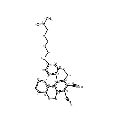 CC(=O)CCCCCOc1ccc2c(c1)CCc1c(C#N)c(C#N)c3c(c1-2)-c1ccccc1CC3